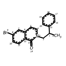 CC(Cn1ccc2cc(Br)ccc2c1=O)c1ccccc1